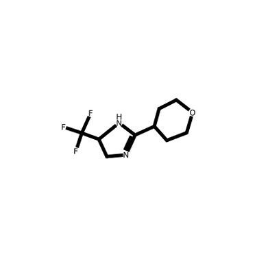 FC(F)(F)C1CN=C(C2CCOCC2)N1